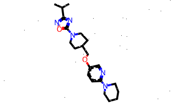 CC(C)c1noc(N2CCC(COc3ccc(N4CCCCC4)nc3)CC2)n1